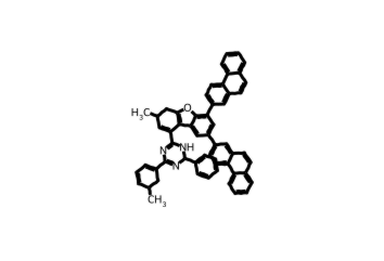 CC1C=CC=C(C2=NC(c3ccccc3)NC(C3=CC(C)Cc4oc5c(-c6ccc7c(ccc8ccccc87)c6)cc(-c6ccc7c(ccc8ccccc87)c6)cc5c43)=N2)C1